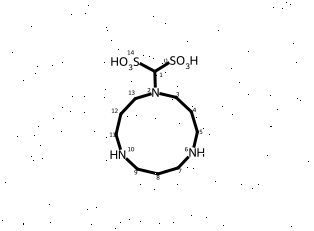 O=S(=O)(O)C(N1CCCNCCCNCCC1)S(=O)(=O)O